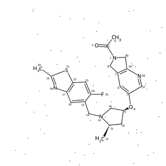 CC(=O)N1Cc2cc(O[C@H]3C[C@@H](C)N(Cc4cc5nc(C)sc5cc4F)C3)cnc2C1